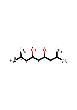 CC(C)CC(O)CC(O)CC(C)C